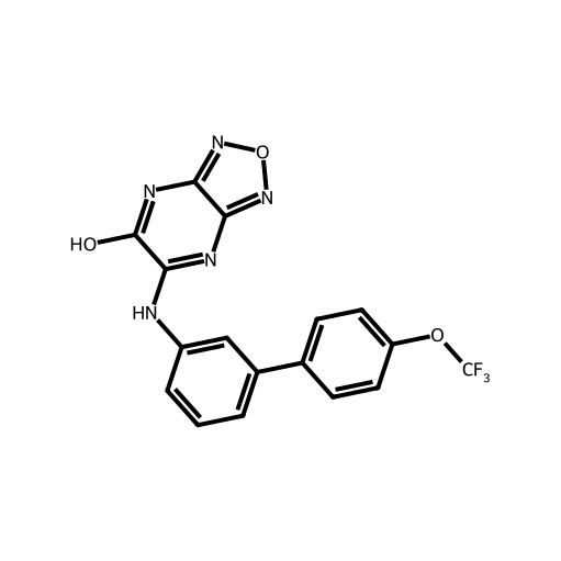 Oc1nc2nonc2nc1Nc1cccc(-c2ccc(OC(F)(F)F)cc2)c1